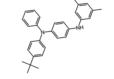 Cc1cc(C)cc(Nc2ccc(N(c3ccccc3)c3ccc(C(C)(C)C)cc3)cc2)c1